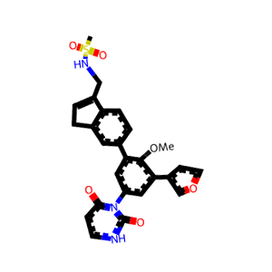 COc1c(-c2ccoc2)cc(-n2c(=O)cc[nH]c2=O)cc1-c1ccc2c(c1)CC=C2CNS(C)(=O)=O